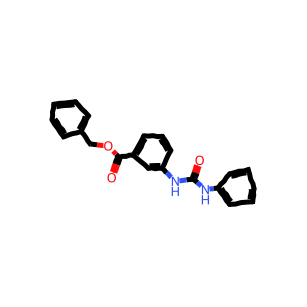 O=C(Nc1ccccc1)Nc1cccc(C(=O)OCc2ccccc2)c1